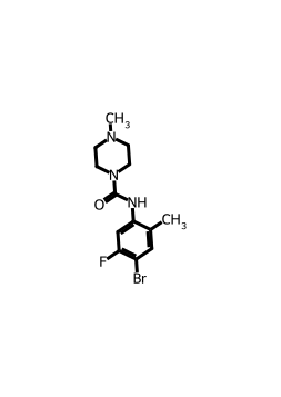 Cc1cc(Br)c(F)cc1NC(=O)N1CCN(C)CC1